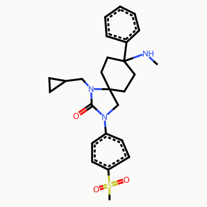 CNC1(c2ccccc2)CCC2(CC1)CN(c1ccc(S(C)(=O)=O)cc1)C(=O)N2CC1CC1